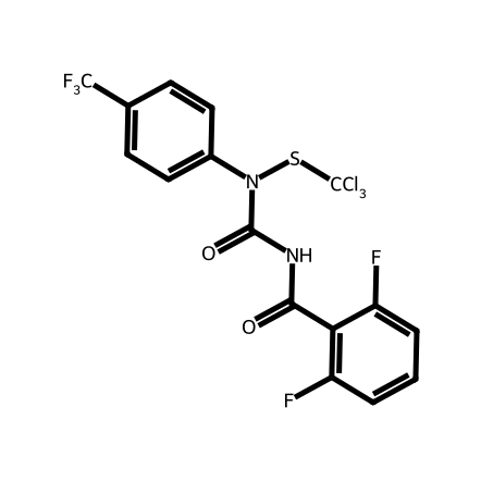 O=C(NC(=O)N(SC(Cl)(Cl)Cl)c1ccc(C(F)(F)F)cc1)c1c(F)cccc1F